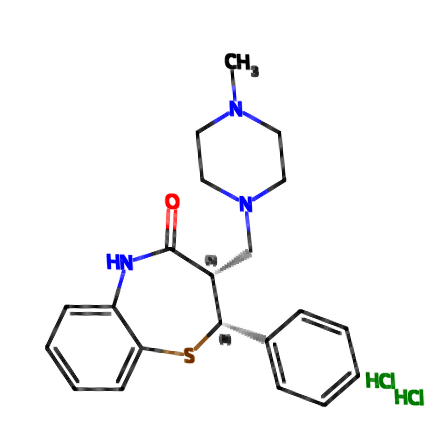 CN1CCN(C[C@H]2C(=O)Nc3ccccc3S[C@H]2c2ccccc2)CC1.Cl.Cl